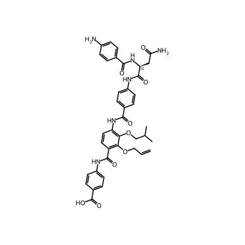 C=CCOc1c(C(=O)Nc2ccc(C(=O)O)cc2)ccc(NC(=O)c2ccc(NC(=O)[C@H](CC(N)=O)NC(=O)c3ccc(N)cc3)cc2)c1OCC(C)C